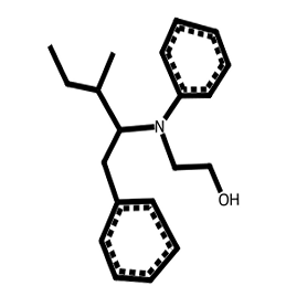 CCC(C)C(Cc1ccccc1)N(CCO)c1ccccc1